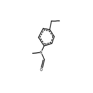 CCc1ccc(N(C)C=O)cc1